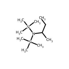 CCC(C)N([Si](C)(C)C)[Si](C)(C)C